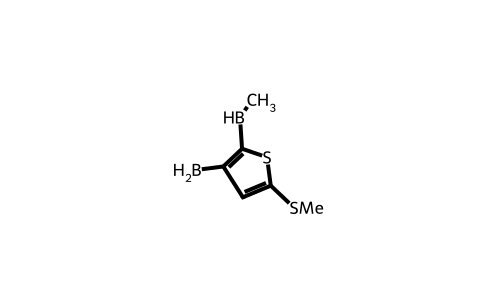 Bc1cc(SC)sc1BC